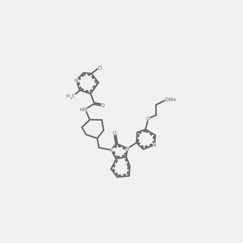 COCCOc1cncc(-n2c(=O)n(CC3CCC(NC(=O)c4cc(Cl)cnc4C)CC3)c3ccccc32)c1